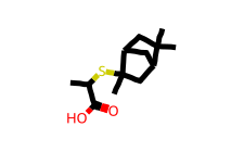 CC(SC1(C)CC2CC1CC2(C)C)C(=O)O